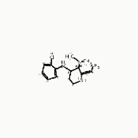 C/C=C1/NCCC(Nc2ccccc2Cl)C1N(C)C